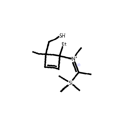 CCC1(/[N+](C)=C(/C)[Si](C)(C)C)C=CC1(C)CS